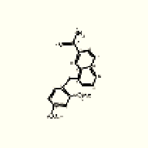 COc1cc(C(=O)O)ccc1Cc1cccc2ccc(C(N)=O)cc12